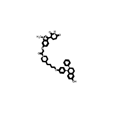 Cn1nc(C2CCC(=O)NC2=O)c2ccc(OCC(=O)N3CCC(CCCCOc4ccc([C@@H]5c6ccc(O)cc6CC[C@@H]5c5ccccc5)cc4)CC3)cc21